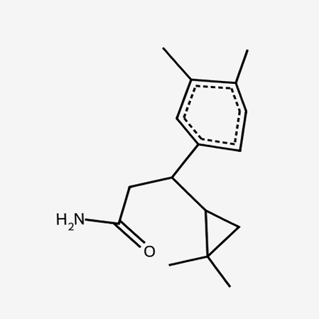 Cc1ccc(C(CC(N)=O)C2CC2(C)C)cc1C